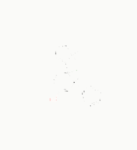 CC1(C)CCC=C1C1(F)C=CC(O)=CC1(C(=O)O)c1ccccc1